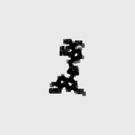 COc1c(F)ccc2c(-c3cn(Cc4cccc(C(C)(C)O)[n+]4O)nn3)nc(N)nc12